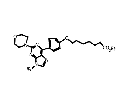 CCOC(=O)CCCCCCOc1ccc(-c2nc(N3CCOCC3)nc3c2ncn3C(C)C)cc1